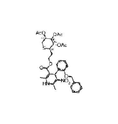 CC(=O)O[C@H]1[C@H](OC(C)=O)[C@@H](CCOC(=O)C2=C(C)NC(C)=C([N+](=O)[O-])C2c2ccccc2OCc2ccccc2)SC[C@H]1OC(C)=O